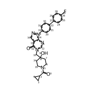 O=C(C1CC1)N1CCC(O)(Cn2cnc3c(cnn3-c3ccc(-c4ccc(F)cc4)cc3)c2=O)CC1